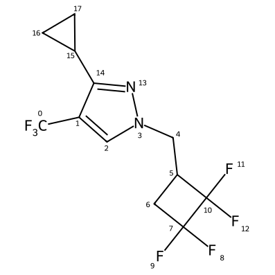 FC(F)(F)c1cn(CC2CC(F)(F)C2(F)F)nc1C1CC1